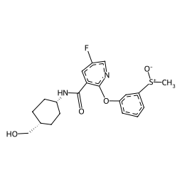 C[S+]([O-])c1cccc(Oc2ncc(F)cc2C(=O)N[C@H]2CC[C@@H](CO)CC2)c1